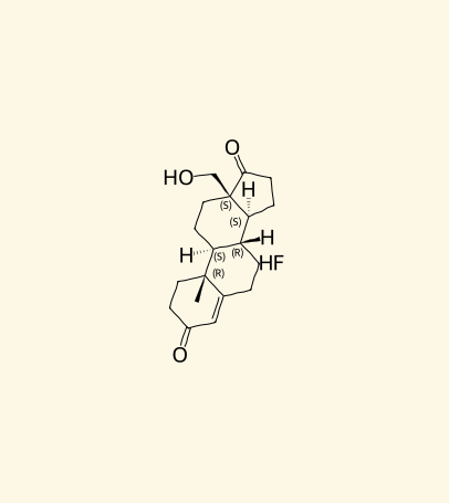 C[C@]12CCC(=O)C=C1CC[C@H]1[C@@H]3CCC(=O)[C@@]3(CO)CC[C@@H]12.F